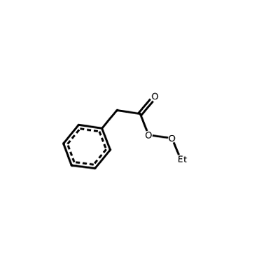 [CH2]COOC(=O)Cc1ccccc1